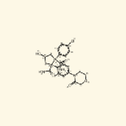 NC(=O)[C@]1(c2ccc(N3CCOCC3=O)cc2F)C[C@@H](O)C[N+]1(C(N)=O)c1ccc(Cl)cc1